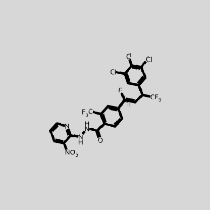 O=C(NNc1ncccc1[N+](=O)[O-])c1ccc(/C(F)=C/C(c2cc(Cl)c(Cl)c(Cl)c2)C(F)(F)F)cc1C(F)(F)F